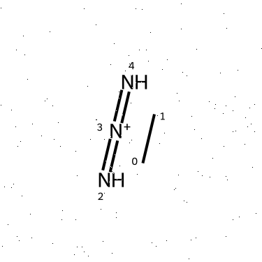 CC.N=[N+]=N